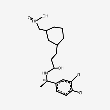 C[C@@H](NC(O)CCC1CCCC(C[PH](=O)O)C1)c1ccc(Cl)c(Cl)c1